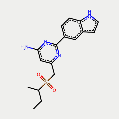 CCC(C)S(=O)(=O)Cc1cc(N)nc(-c2ccc3[nH]ccc3c2)n1